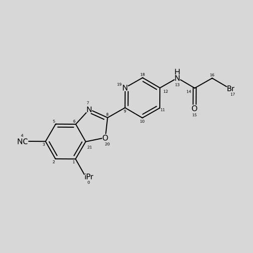 CC(C)c1cc(C#N)cc2nc(-c3ccc(NC(=O)CBr)cn3)oc12